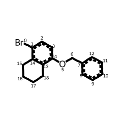 Brc1ccc(OCc2ccccc2)c2c1CCCC2